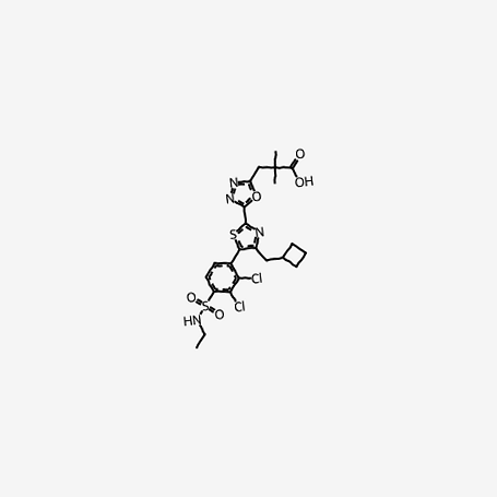 CCNS(=O)(=O)c1ccc(-c2sc(-c3nnc(CC(C)(C)C(=O)O)o3)nc2CC2CCC2)c(Cl)c1Cl